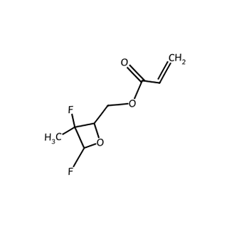 C=CC(=O)OCC1OC(F)C1(C)F